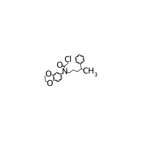 CC(CCCN(C(=O)CCl)c1ccc2c(c1)OCCO2)c1ccccc1